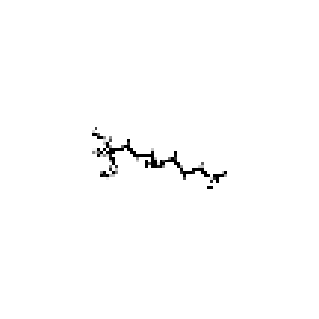 CNCCCNCCC[Si](C)(OC)OC